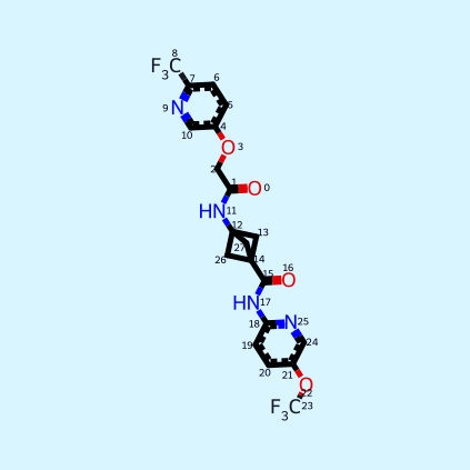 O=C(COc1ccc(C(F)(F)F)nc1)NC12CC(C(=O)Nc3ccc(OC(F)(F)F)cn3)(C1)C2